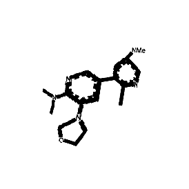 CNc1cnc(C)c(-c2cnc(N(C)C)c(N3CCOC3)c2)c1